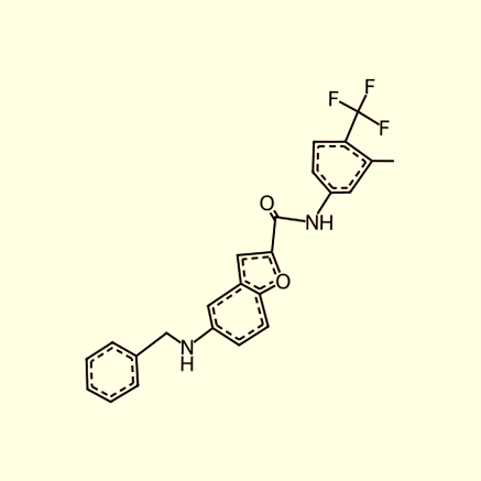 Cc1cc(NC(=O)c2cc3cc(NCc4ccccc4)ccc3o2)ccc1C(F)(F)F